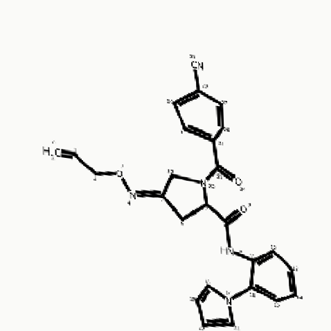 C=CCON=C1CC(C(=O)Nc2ccccc2-n2cccc2)N(C(=O)c2ccc(C#N)cc2)C1